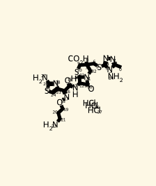 Cc1nnc(SCC2(C(=O)O)CS[C@@H]3C(NC(=O)C(=NOCCCN)c4csc(N)n4)C(=O)N3C2)n1N.Cl.Cl.Cl